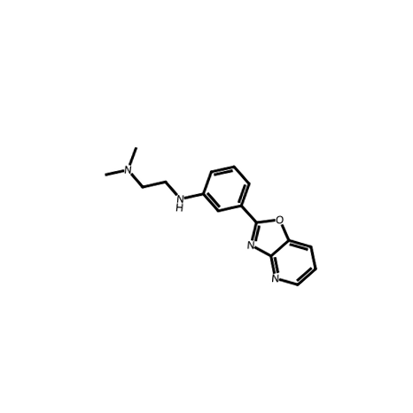 CN(C)CCNc1cccc(-c2nc3ncccc3o2)c1